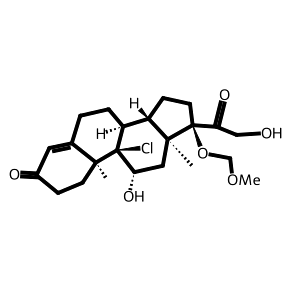 COCO[C@]1(C(=O)CO)CC[C@H]2[C@@H]3CCC4=CC(=O)CC[C@]4(C)[C@@]3(Cl)[C@@H](O)C[C@@]21C